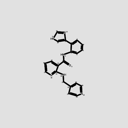 O=C(Nc1ccccc1-c1c[nH]cn1)c1cccnc1NCc1ccncc1